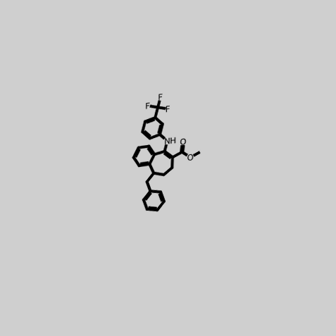 COC(=O)C1=C(Nc2cccc(C(F)(F)F)c2)c2ccccc2C(Cc2ccccc2)CC1